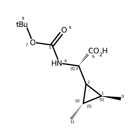 C[C@@H]1C([C@H](NC(=O)OC(C)(C)C)C(=O)O)[C@H]1C